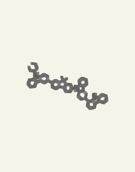 C/C=C\C(=C/C)n1c2ccccc2c2cc(-c3ccc4c(c3)C(C)(C)c3cc(-n5c6c(c7ccccc75)CC(c5cccc7c5sc5ccccc57)C=C6)ccc3-4)ccc21